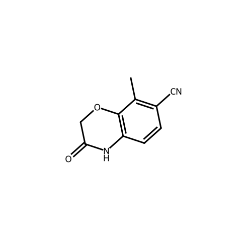 Cc1c(C#N)ccc2c1OCC(=O)N2